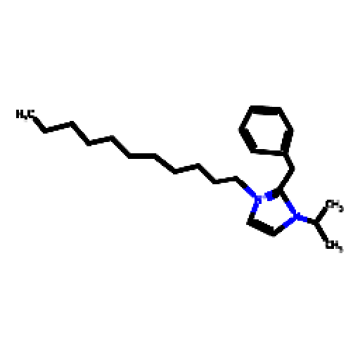 CCCCCCCCCCC[n+]1ccn(C(C)C)c1Cc1ccccc1